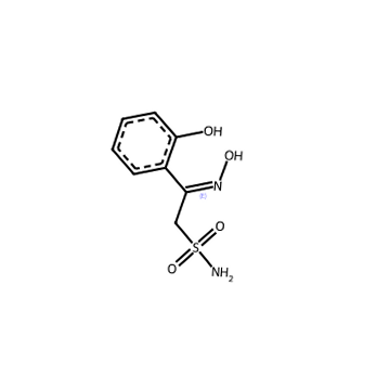 NS(=O)(=O)C/C(=N/O)c1ccccc1O